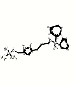 CC(C)(C)[Si](C)(C)OCc1cc(CCCO[Si](c2ccccc2)(c2ccccc2)C(C)(C)C)on1